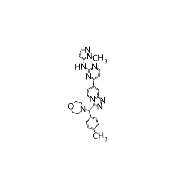 Cc1ccc(C(c2nnc3cc(-c4ccnc(Nc5ccnn5C)n4)ccn23)N2CCOCC2)cc1